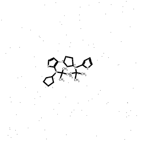 CC(C)(C)P(c1sccc1[C@@H]1CC[C@H](P(c2cccs2)C(C)(C)C)C1)C1CCCC1